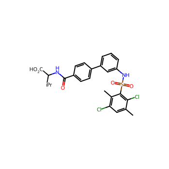 Cc1cc(Cl)c(C)c(S(=O)(=O)Nc2cccc(-c3ccc(C(=O)NC(C(=O)O)C(C)C)cc3)c2)c1Cl